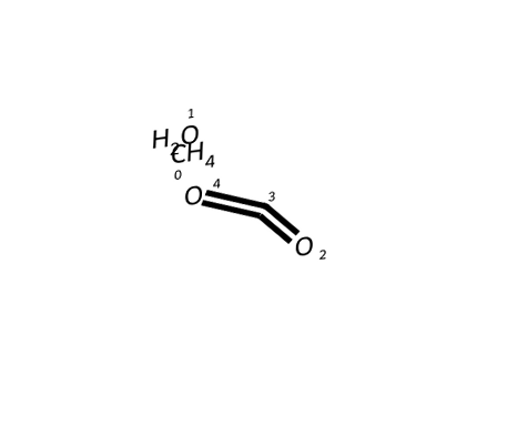 C.O.O=C=O